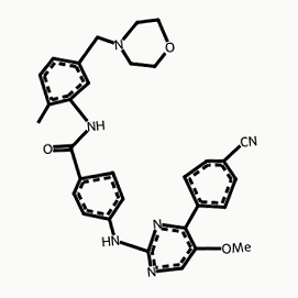 COc1cnc(Nc2ccc(C(=O)Nc3cc(CN4CCOCC4)ccc3C)cc2)nc1-c1ccc(C#N)cc1